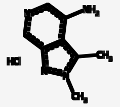 Cc1c2c(N)cncc2nn1C.Cl